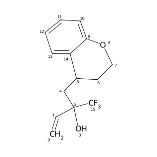 C=CC(O)(CC1CCOc2ccccc21)C(F)(F)F